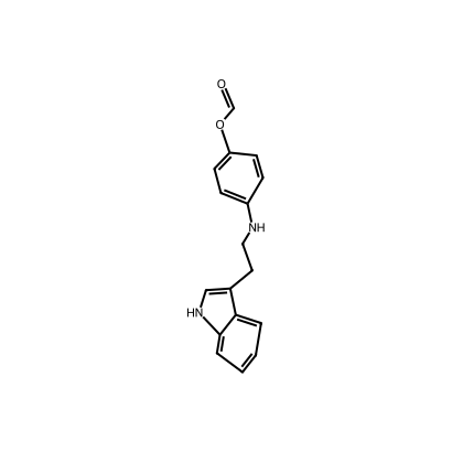 O=COc1ccc(NCCc2c[nH]c3ccccc23)cc1